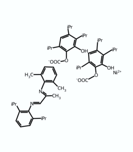 CC(C)c1cc(C(C)C)c(C(C)C)c(O)c1OC(=O)[O-].CC(C)c1cc(C(C)C)c(C(C)C)c(O)c1OC(=O)[O-].CC(C=Nc1c(C(C)C)cccc1C(C)C)=Nc1c(C)cccc1C.[Ni+2]